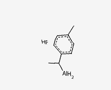 Cc1ccc([CH](C)[AlH2])cc1.F